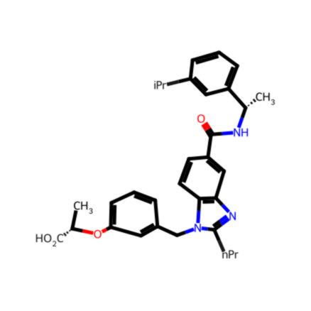 CCCc1nc2cc(C(=O)N[C@@H](C)c3cccc(C(C)C)c3)ccc2n1Cc1cccc(O[C@@H](C)C(=O)O)c1